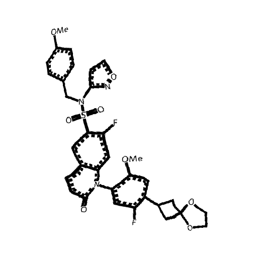 COc1ccc(CN(c2ccon2)S(=O)(=O)c2cc3ccc(=O)n(-c4cc(F)c(C5CC6(C5)OCCO6)cc4OC)c3cc2F)cc1